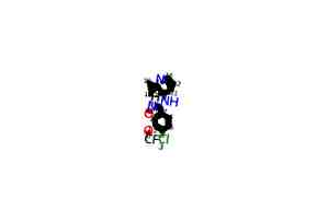 FC(F)(F)Oc1c(Cl)ccc2c(N[C@@H]3C4CCN(CC4)C34CC4)noc12